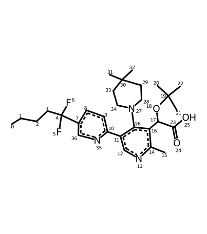 CCCCC(F)(F)c1ccc(-c2cnc(C)c(C(OC(C)(C)C)C(=O)O)c2N2CCC(C)(C)CC2)nc1